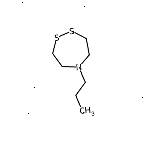 CCCN1CCSSCC1